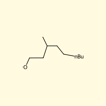 CCCCCCC(C)CC[O]